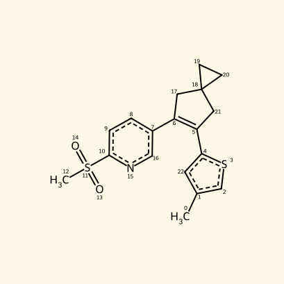 Cc1csc(C2=C(c3ccc(S(C)(=O)=O)nc3)CC3(CC3)C2)c1